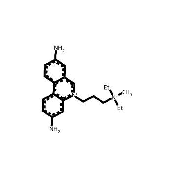 CC[N+](C)(CC)CCC[n+]1cc2cc(N)ccc2c2ccc(N)cc21